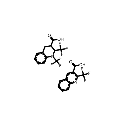 O=C(O)C1Cc2ccccc2N(C(F)(F)F)C1C(F)(F)F.O=C(O)c1cc2ccccc2nc1C(F)(F)F